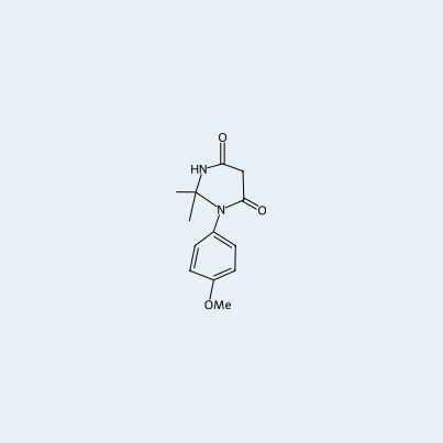 COc1ccc(N2C(=O)CC(=O)NC2(C)C)cc1